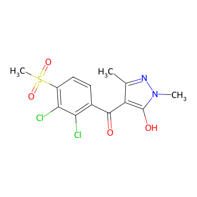 Cc1nn(C)c(O)c1C(=O)c1ccc(S(C)(=O)=O)c(Cl)c1Cl